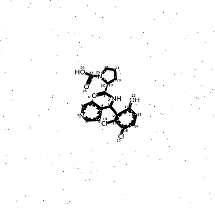 O=C(NC(c1ccncc1)c1c(O)ccc(Cl)c1Cl)[C@@H]1CCCN1C(=O)O